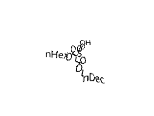 CCCCCCCCCCCCOC(=O)CC(SOOO)C(=O)OCCCCCC